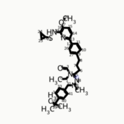 CCN(C=O)/C(CCCc1ccc(-c2ccc(OC)c(NSC3CC3)n2)cc1)=N\N(C)Cc1ccc(C(C)(C)C)cc1